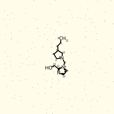 CCCC1CCN(Cn2ccnc2CO)C1